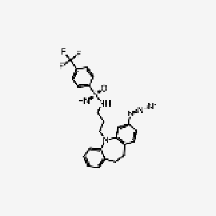 [N-]=[N+]=Nc1ccc2c(c1)N(CCCNS(=N)(=O)c1ccc(C(F)(F)F)cc1)c1ccccc1CC2